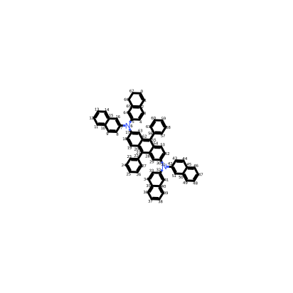 C1=Cc2ccc(N(c3ccc4ccccc4c3)c3ccc4c(-c5ccccc5)c5cc(N(c6ccc7ccccc7c6)c6ccc7ccccc7c6)ccc5c(-c5ccccc5)c4c3)cc2CC1